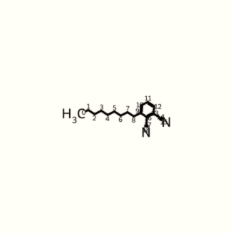 CCCCCCCCCc1cccc(C#N)c1C#N